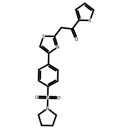 O=C(Cc1nc(-c2ccc(S(=O)(=O)N3CCCC3)cc2)cs1)c1cccs1